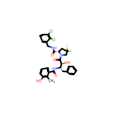 Cc1c(O)cccc1C(=O)N[C@@H](Cc1ccccc1)[C@H](O)C(=O)N1CC(F)(F)C[C@H]1C(=O)NCc1cccc(Cl)c1Cl